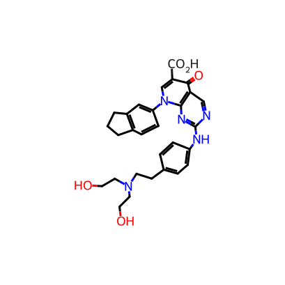 O=C(O)c1cn(-c2ccc3c(c2)CCC3)c2nc(Nc3ccc(CCN(CCO)CCO)cc3)ncc2c1=O